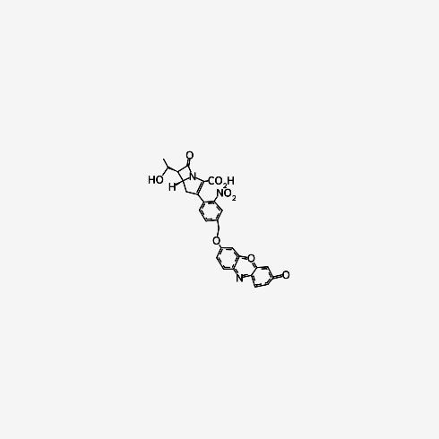 CC(O)[C@H]1C(=O)N2C(C(=O)O)=C(c3ccc(COc4ccc5nc6ccc(=O)cc-6oc5c4)cc3[N+](=O)[O-])C[C@H]12